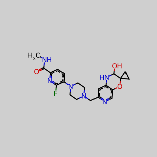 CNC(=O)c1ccc(N2CCN(Cc3cc4c(cn3)OC3(CC3)C(O)N4)CC2)c(F)n1